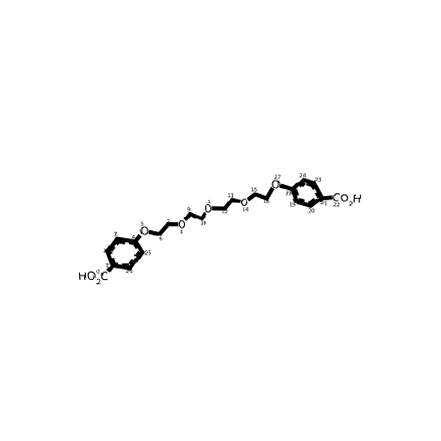 O=C(O)c1ccc(OCCOCCOCCOCCOc2ccc(C(=O)O)cc2)cc1